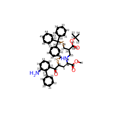 COC(=O)[C@@H](CC(SC)C(=O)c1cccc(N)c1-c1ccccc1)NCC(CSC(c1ccccc1)(c1ccccc1)c1ccccc1)C(=O)OC(C)(C)C